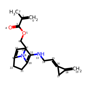 C=C(C)C(=O)OCCN1C2=CCC(NC/C=C3\CC3=C)=C1CC2